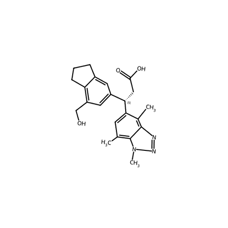 Cc1c([C@@H](CC(=O)O)c2cc(CO)c3c(c2)CCC3)cc(C)c2c1nnn2C